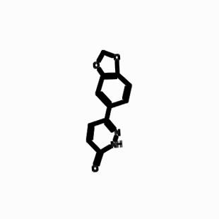 O=c1ccc(-c2ccc3c(c2)OCO3)n[nH]1